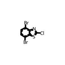 Clc1nc2c(Br)ccc(Br)c2s1